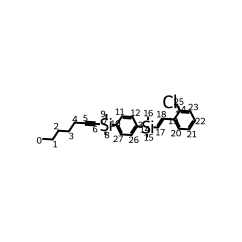 CCCCCC#C[Si](C)(C)c1ccc([Si](C)(C)/C=C/c2ccccc2Cl)cc1